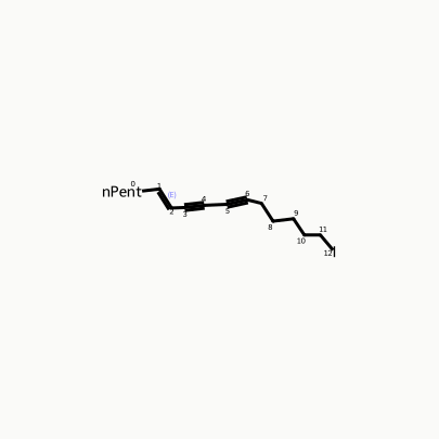 CCCCC/C=C/C#CC#CCCCCCI